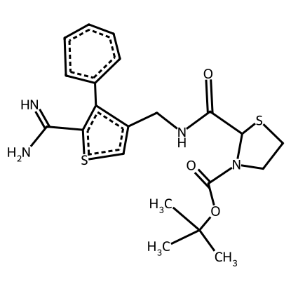 CC(C)(C)OC(=O)N1CCSC1C(=O)NCc1csc(C(=N)N)c1-c1ccccc1